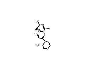 C=C/C(=N\N(C)/C(I)=N\C(C)C#N)N1CCOC[C@H]1C